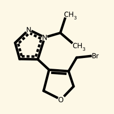 CC(C)n1nccc1C1=C(CBr)COC1